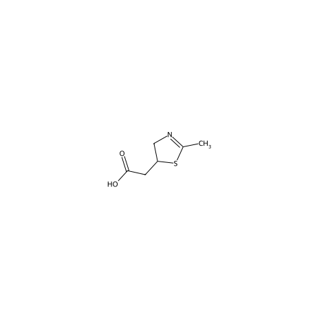 CC1=NCC(CC(=O)O)S1